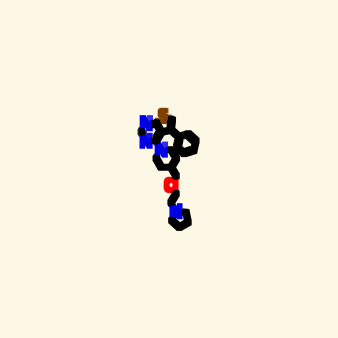 c1ccc(-c2csc3ncnc(N4CCC(COCCN5CCCC5)CC4)c23)cc1